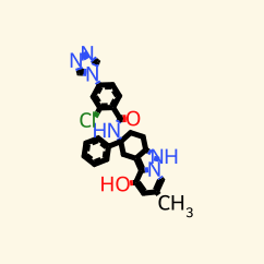 CC1=CN2NC3CCC(NC(=O)c4ccc(-n5cnnc5)cc4Cl)(c4ccccc4)CC3=C2C(O)=C1